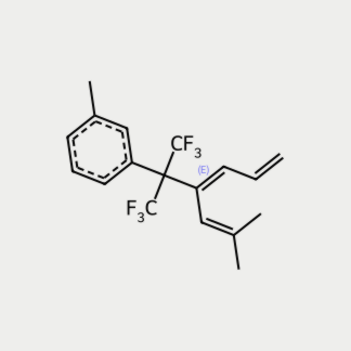 C=C/C=C(\C=C(C)C)C(c1cccc(C)c1)(C(F)(F)F)C(F)(F)F